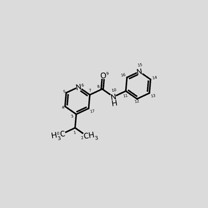 CC(C)c1ccnc(C(=O)Nc2cccnc2)c1